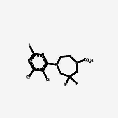 O=C(O)N1CCN(c2nc(I)nc(Cl)c2Cl)CC(F)(F)C1